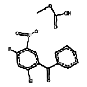 COC(=O)O.O=C(c1ccccc1)c1cc([N+](=O)[O-])c(F)cc1Cl